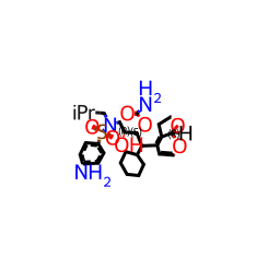 CC(C)CN(C[C@@H](O)[C@@H](OC(N)=O)C(C1=C2CCO[C@@H]2OC=C1)C1CCCCC1)S(=O)(=O)c1ccc(N)cc1